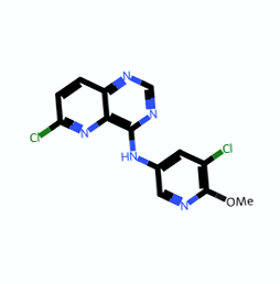 COc1ncc(Nc2ncnc3ccc(Cl)nc23)cc1Cl